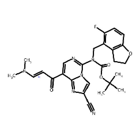 CN(C)/C=C/C(=O)c1cnc(N(Cc2c(F)ccc3c2CCO3)C(=O)OC(C)(C)C)n2cc(C#N)nc12